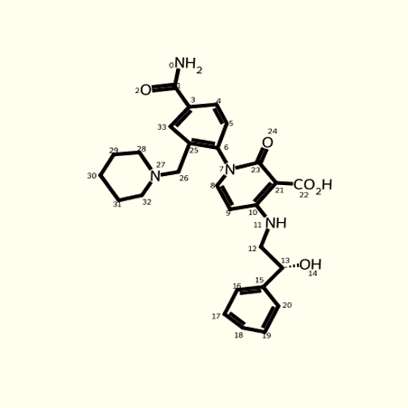 NC(=O)c1ccc(-n2ccc(NC[C@H](O)c3ccccc3)c(C(=O)O)c2=O)c(CN2CCCCC2)c1